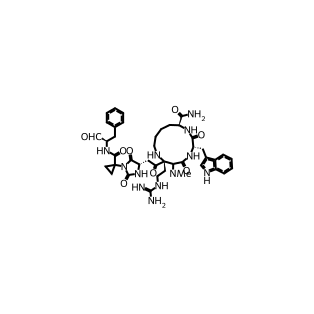 CNC1C(=O)N[C@@H](Cc2c[nH]c3ccccc23)C(=O)N[C@H](C(N)=O)CCCCN[C@@]1(CCNC(=N)N)C(=O)C[C@@H]1NC(=O)N(C2(C(=O)N[C@@H](C=O)Cc3ccccc3)CC2)C1=O